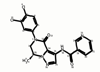 C[C@H]1CN(c2ccc(Cl)c(Cl)c2)C(=O)c2c(NC(=O)c3cccnc3)cnn21